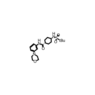 CC(C)(C)S(=O)(=O)N[C@H]1CC[C@H](C(=O)Nc2cccc(N3CCOCC3)c2)CC1